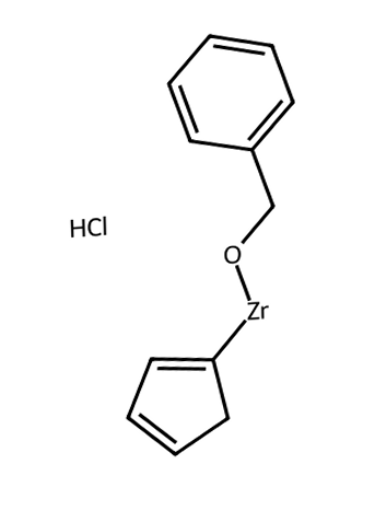 C1=CC[C]([Zr][O]Cc2ccccc2)=C1.Cl